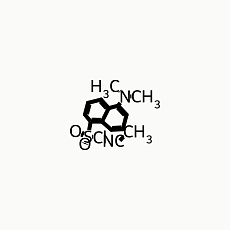 CC#N.CN(C)c1cccc2c(S(=O)(=O)Cl)cccc12